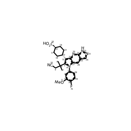 COc1cc(-n2c(C(C)(C)CC#N)c([C@H]3CC[C@H](C(=O)O)CC3)c3nc4[nH]ncc4cc32)ccc1F